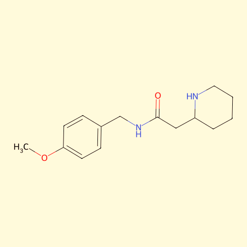 COc1ccc(CNC(=O)CC2CCCCN2)cc1